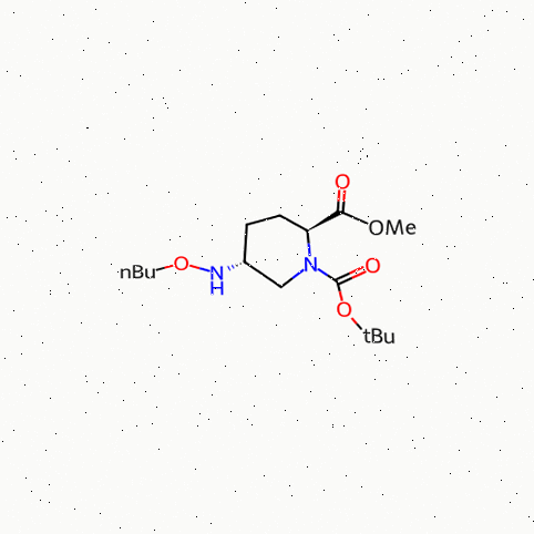 CCCCON[C@@H]1CC[C@@H](C(=O)OC)N(C(=O)OC(C)(C)C)C1